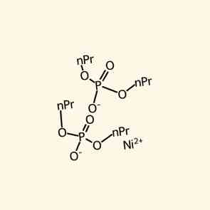 CCCOP(=O)([O-])OCCC.CCCOP(=O)([O-])OCCC.[Ni+2]